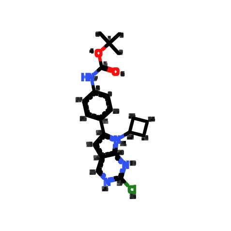 CC(C)(C)OC(=O)Nc1ccc(-c2cc3cnc(Cl)nc3n2C2CCC2)cc1